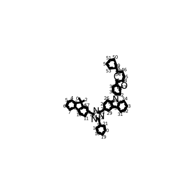 CC1(C)c2ccccc2-c2ccc(-c3nc(-c4ccccc4)nc(-c4ccc5c(c4)c4ccccc4n5-c4ccc5c(c4)oc4ccc(-c6ccccc6)cc45)n3)cc21